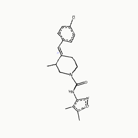 Cc1onc(NC(=O)N2CC/C(=C\c3ccc(Cl)cc3)C(C)C2)c1C